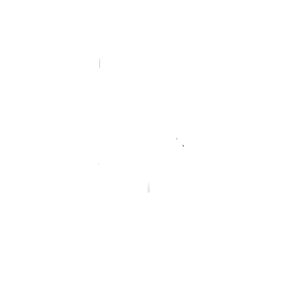 CCc1ccc2oc(Cc3cccc(F)c3)c(CC#N)c2c1